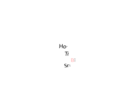 [B].[Ho].[Sr].[Ti]